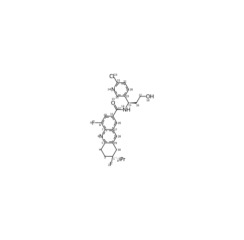 CC(C)[C@]1(F)CCc2nc3c(F)cc(C(=O)N[C@H](CCO)c4ccc(Cl)nc4)cc3cc2C1